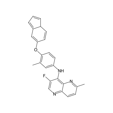 Cc1ccc2ncc(F)c(Nc3ccc(OC4=CC5=CC=CC5C=C4)c(C)c3)c2n1